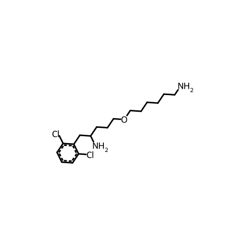 NCCCCCCOCCCC(N)Cc1c(Cl)cccc1Cl